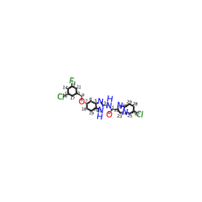 O=C(Nc1nc2cc(OCc3cc(F)cc(Cl)c3)ccc2[nH]1)c1cn2cc(Cl)ccc2n1